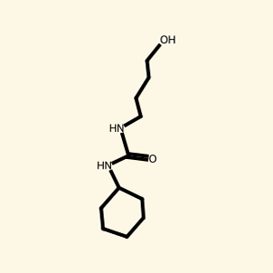 O=C(NCCCCO)NC1CCCCC1